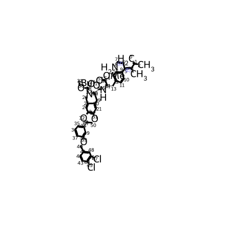 C=C(C)/C(C)=C(\C=C/N)c1ccc(C[C@H](NC(=O)[C@@H]2Cc3cc4c(cc3CN2C(=O)OC(C)(C)C)O[C@@H](c2cccc(OCc3ccc(Cl)c(Cl)c3)c2)CO4)C(=O)OC)cc1